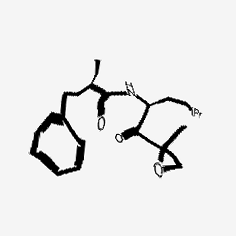 CC(C)C[C@H](NC(=O)[C@H](C)Cc1ccccc1)C(=O)C1(C)CO1